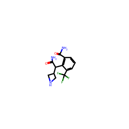 NC(=O)c1cccc(C(F)(F)F)c1C(C(N)=O)C1CNC1